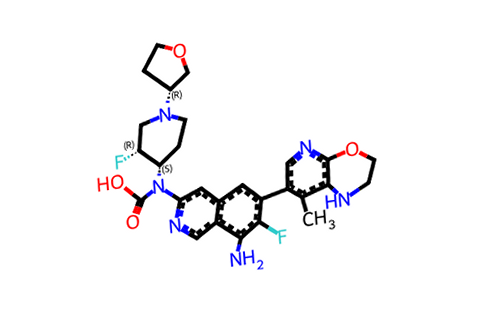 Cc1c(-c2cc3cc(N(C(=O)O)[C@H]4CCN([C@@H]5CCOC5)C[C@H]4F)ncc3c(N)c2F)cnc2c1NCCO2